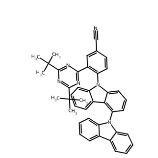 CC(C)(C)c1nc(-c2cc(C#N)ccc2-n2c3ccccc3c3c(-n4c5ccccc5c5ccccc54)cccc32)nc(C(C)(C)C)n1